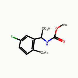 COc1ccc(F)cc1C(NC(=O)OC(C)(C)C)C(=O)O